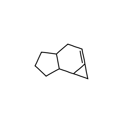 C1=C2CC2C2CCCC2C1